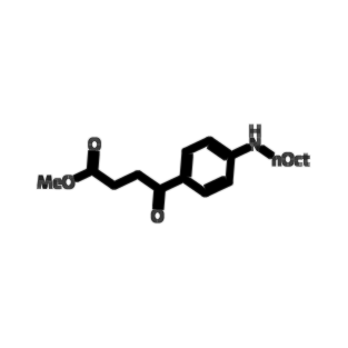 CCCCCCCCNc1ccc(C(=O)CCC(=O)OC)cc1